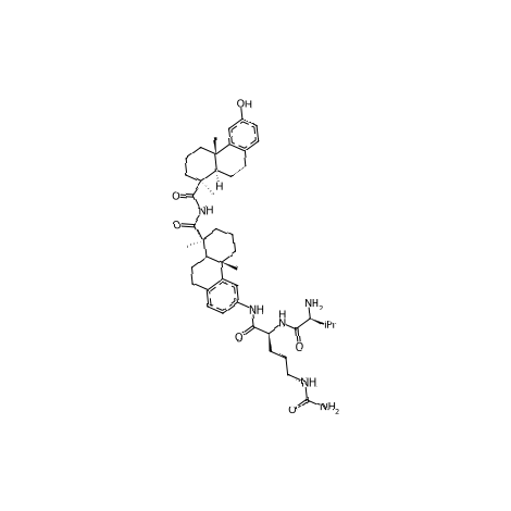 CC(C)[C@H](N)C(=O)N[C@@H](CCCNC(N)=O)C(=O)Nc1ccc2c(c1)[C@@]1(C)CCC[C@](C)(C(=O)NC(=O)[C@@]3(C)CCC[C@]4(C)c5cc(O)ccc5CC[C@@H]34)C1CC2